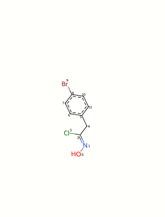 ON=C(Cl)Cc1ccc(Br)cc1